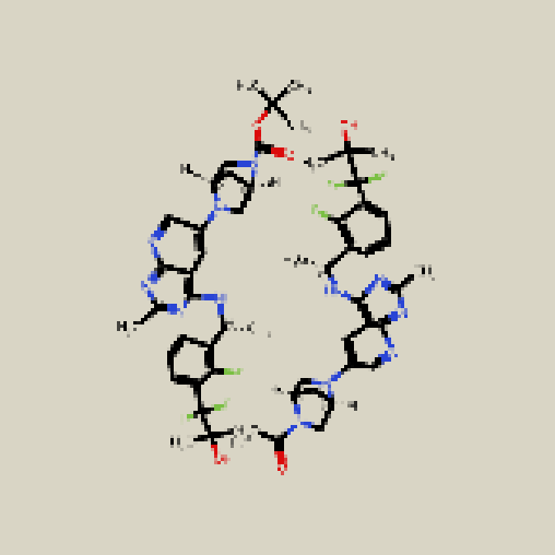 CC(=O)N1C[C@H]2C[C@@H]1CN2c1cnc2nc(C)nc(N[C@H](C)c3cccc(C(F)(F)C(C)(C)O)c3F)c2c1.Cc1nc(N[C@H](C)c2cccc(C(F)(F)C(C)(C)O)c2F)c2cc(N3C[C@H]4C[C@@H]3CN4C(=O)OC(C)(C)C)cnc2n1